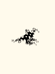 CCOCc1cc(OC)c(-c2ccc(CCC(=O)OC)c3c2N(C)N(N)C3)c(OC)c1